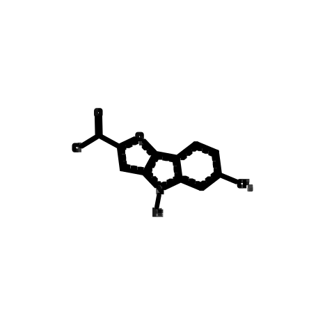 CCn1c2cc(C(F)(F)F)ccc2c2oc(C(=O)Cl)cc21